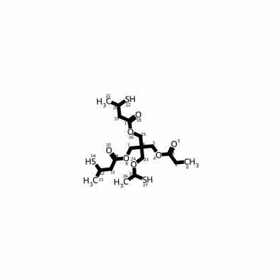 CCC(=O)OCC(COC(=O)CC(C)S)(COC(=O)CC(C)S)COC(C)S